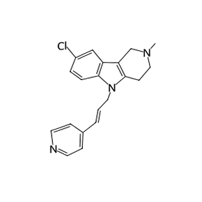 CN1CCc2c(c3cc(Cl)ccc3n2CC=Cc2ccncc2)C1